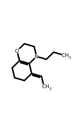 C/C=C1\CCCC2=C1N(CCC)CCO2